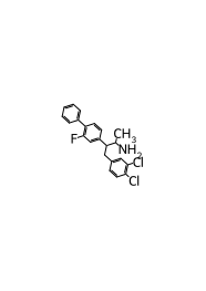 CC(N)C(Cc1ccc(Cl)c(Cl)c1)c1ccc(-c2ccccc2)c(F)c1